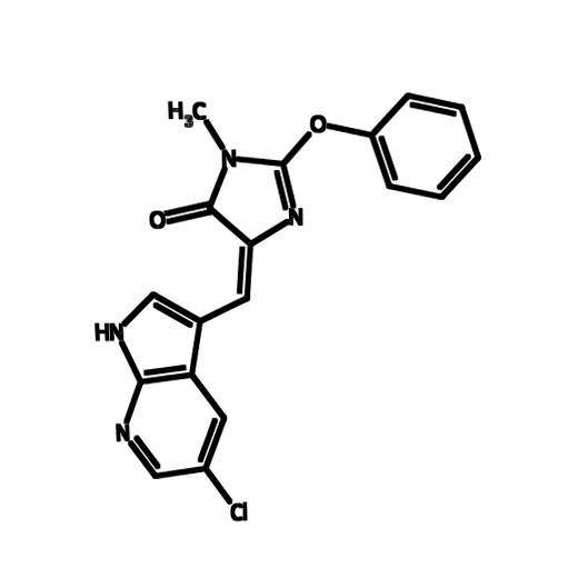 CN1C(=O)C(=Cc2c[nH]c3ncc(Cl)cc23)N=C1Oc1ccccc1